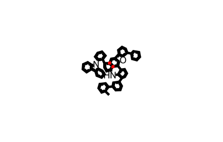 Cc1ccccc1-c1cccc(-c2cccc(-c3cccc4c3oc3c(-c5ccccc5)cccc34)c2Nc2ccc(-c3ccccc3-n3c4ccccc4c4ccccc43)cc2)c1